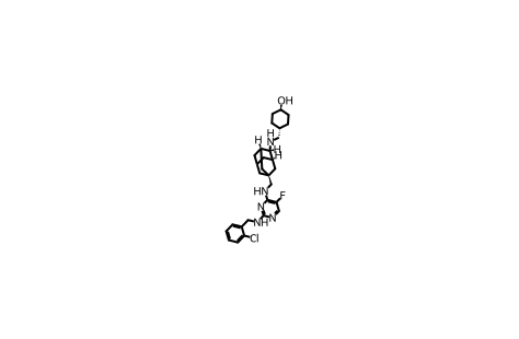 O[C@H]1CC[C@H](CN[C@@H]2[C@@H]3CC4C[C@H]2C[C@@](CNc2nc(NCc5ccccc5Cl)ncc2F)(C4)C3)CC1